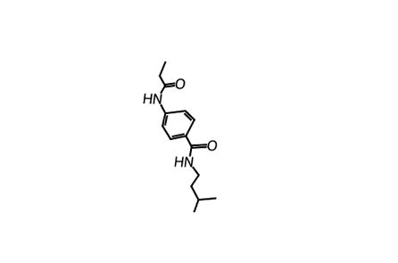 CCC(=O)Nc1ccc(C(=O)NCCC(C)C)cc1